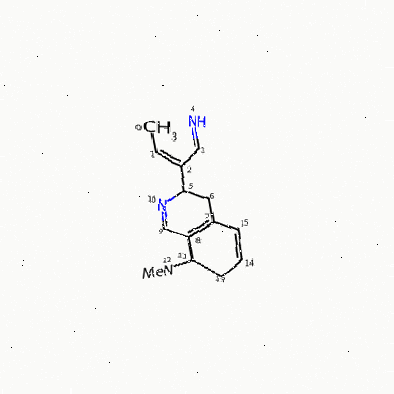 C/C=C(\C=N)C1CC2=C(C=N1)C(NC)CC=C2